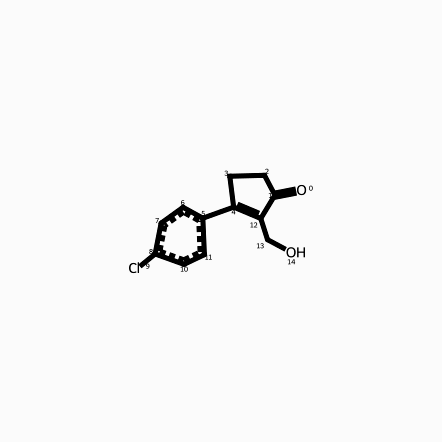 O=C1CCC(c2ccc(Cl)cc2)=C1CO